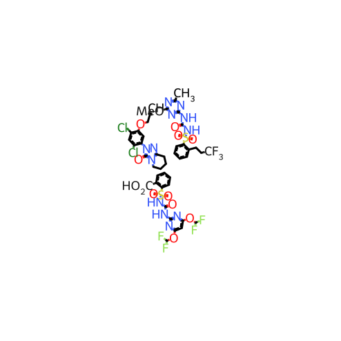 C#CCOc1cc(-n2nc3n(c2=O)CCCC3)c(Cl)cc1Cl.COc1nc(C)nc(NC(=O)NS(=O)(=O)c2ccccc2CCC(F)(F)F)n1.O=C(Nc1nc(OC(F)F)cc(OC(F)F)n1)NS(=O)(=O)c1ccccc1C(=O)O